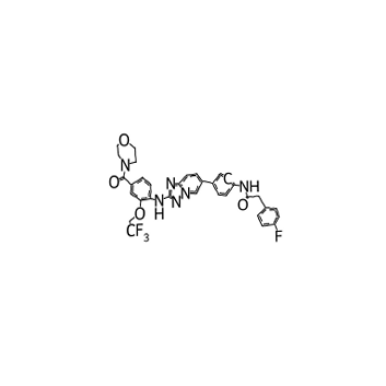 O=C(Cc1ccc(F)cc1)Nc1ccc(-c2ccc3nc(Nc4ccc(C(=O)N5CCOCC5)cc4OCC(F)(F)F)nn3c2)cc1